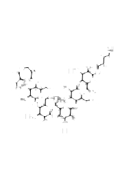 C[C@@H]1OC[C@H](O)C(OC2C(CO)OC(OC3C(CO)OC(O[C@@H](C)C(CO)OC(OC4C(CO)OC(OC5C(CO)OC(OCCCCN)C(O)C5O)C(O)C4O)[C@@H](O)CO)C(O)C3O)C(O)C2O)OC1CO